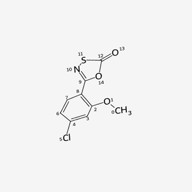 COc1cc(Cl)ccc1-c1nsc(=O)o1